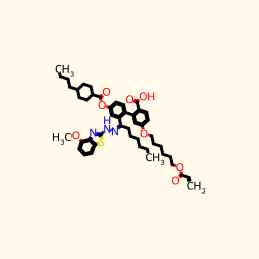 C=CC(=O)OCCCCCCOc1ccc(C(=O)O)c(-c2ccc(OC(=O)C3CCC(CCCC)CC3)cc2C(CCCCCC)=NNc2nc3c(OC)cccc3s2)c1